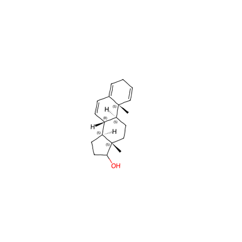 C[C@]12C=CCC=C1C=C[C@@H]1[C@@H]2CC[C@]2(C)C(O)CC[C@@H]12